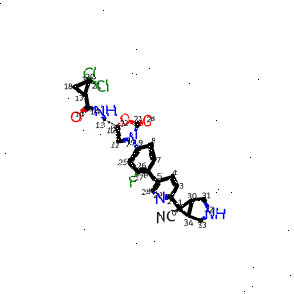 N#CC1(c2ccc(-c3ccc(N4C[C@H](CNC(=O)C5CC5(Cl)Cl)OC4=O)cc3F)cn2)C2CNCC21